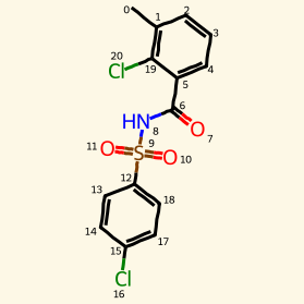 Cc1cccc(C(=O)NS(=O)(=O)c2ccc(Cl)cc2)c1Cl